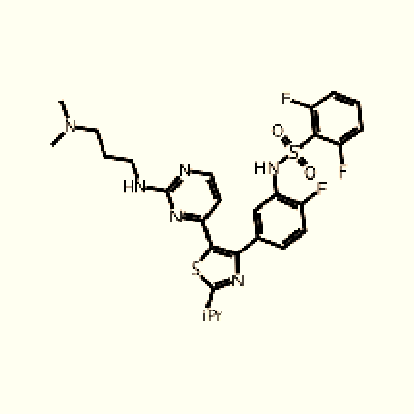 CC(C)c1nc(-c2ccc(F)c(NS(=O)(=O)c3c(F)cccc3F)c2)c(-c2ccnc(NCCCN(C)C)n2)s1